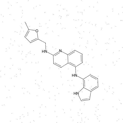 Cc1ccc(CNc2ccc3c(Nc4cccc5cc[nH]c45)cccc3n2)o1